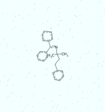 CC(C)(CCc1ccccc1)[15N]=C(c1ccccc1)c1ccccc1